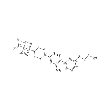 Cc1cc(C2CCN(S(=O)(=O)C(C)(C)C(N)=O)CC2)ccc1-c1cccc(OCCO)n1